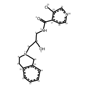 O=C(NCC(O)CN1CCc2ccccc2C1)c1ccncc1Cl